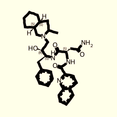 CC1C[C@@H]2CCCC[C@@H]2CN1C[C@@H](O)[C@H](Cc1ccccc1)NC(=O)[C@H](CC(N)=O)NC(=O)c1ccc2ccccc2n1